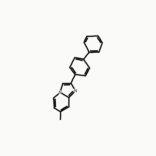 Cc1ccn2cc(-c3ccc(-c4ccccc4)cc3)nc2c1